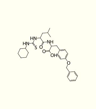 CC(C)CC(NC(=S)NC1CCCCC1)C(=O)NC(Cc1ccc(OCc2ccccc2)cc1)C(=O)O